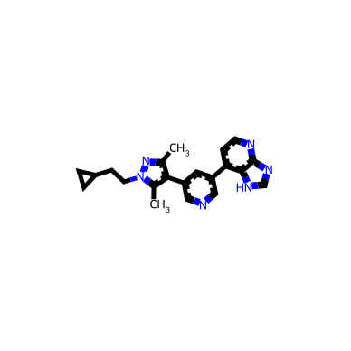 Cc1nn(CCC2CC2)c(C)c1-c1cncc(-c2ccnc3nc[nH]c23)c1